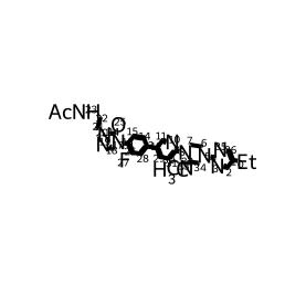 CCc1cnc(N2CCN(c3ncc(-c4ccc(-n5cnn(CCNC(C)=O)c5=O)c(F)c4)cc3C#N)[C@@H](C)C2)nc1